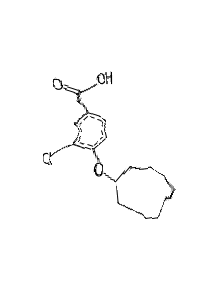 O=C(O)c1ccc(OC2CCCCCCC2)c(Cl)c1